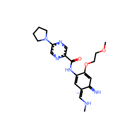 CN/C=C1/C=C(NC(=O)c2cnc(N3CCCC3)cn2)C(OCCOC)=CC1=N